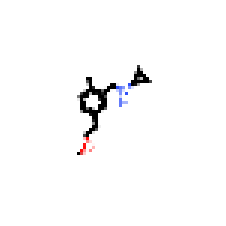 COCCc1ccc(C)c(CNC2CC2)c1